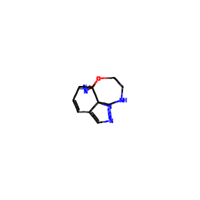 C1=CC2=NN=CC23OCCNCC32N=NC=C12